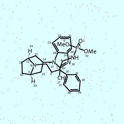 COP(=O)(NCC(CCN1[C@@H]2CC[C@H]1CC(n1c(C)nc3ccccc31)C2)c1ccccc1)OC